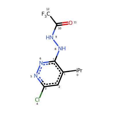 CC(C)c1cc(Cl)nnc1NNC(=O)C(F)(F)F